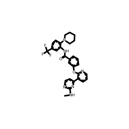 CNc1nccc(-c2cccnc2Oc2cccc(C(=O)Nc3cc(C(F)(F)F)ccc3N3CCCCC3)c2)n1